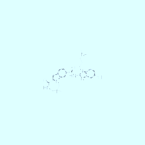 CN(C)CCCn1c(NC(=O)c2ccc3cc4n(c3c2)CC(C)(C)CNC4=O)nc2cc(Cl)ccc21